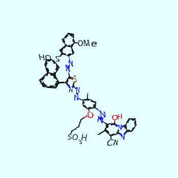 COc1cccc2cc(S(=O)(=O)O)c(N=Nc3sc(N=Nc4cc(OCCCS(=O)(=O)O)c(N=Nc5c(C)c(C#N)c6nc7ccccc7n6c5O)cc4C)nc3-c3cccc4ccccc34)cc12